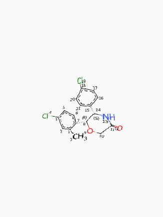 Cc1cc(Cl)ccc1[C@H]1OCC(=O)N[C@H]1c1ccc(Cl)cc1